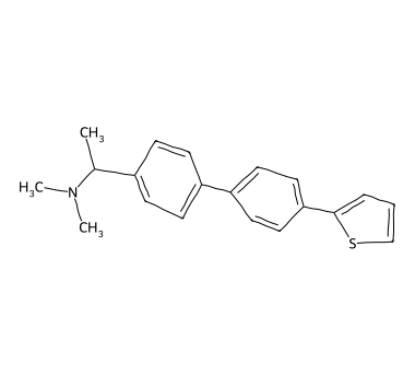 CC(c1ccc(-c2ccc(-c3cccs3)cc2)cc1)N(C)C